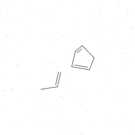 C1=CCC=C1.C=CC